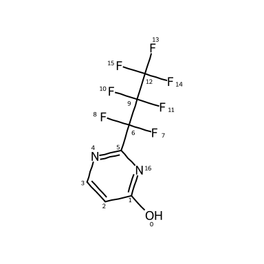 Oc1ccnc(C(F)(F)C(F)(F)C(F)(F)F)n1